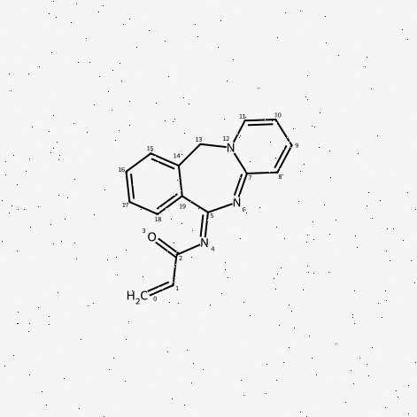 C=CC(=O)/N=C1/N=C2C=CC=CN2Cc2ccccc21